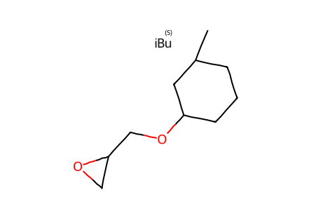 CC[C@H](C)C1(C)CCCC(OCC2CO2)C1